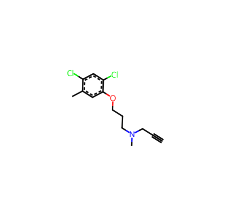 C#CCN(C)CCCOc1cc(C)c(Cl)cc1Cl